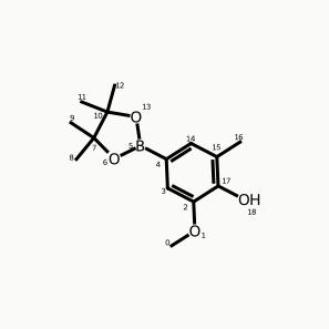 COc1cc(B2OC(C)(C)C(C)(C)O2)cc(C)c1O